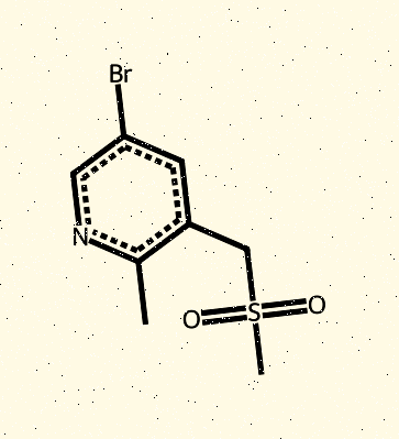 Cc1ncc(Br)cc1CS(C)(=O)=O